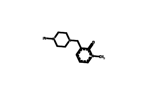 CC(C)N1CCN(Cc2cccn(C)c2=O)CC1